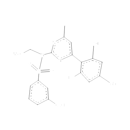 CCCc1cc(C)c(-c2cc(Cl)nc(N(COC)S(=O)(=O)c3cccc(C(=O)O)c3)n2)c(C)c1